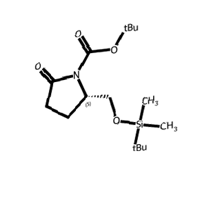 CC(C)(C)OC(=O)N1C(=O)CC[C@H]1CO[Si](C)(C)C(C)(C)C